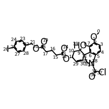 COc1ccc2c3c1O[C@H]1C[C@@H](OC(=O)CCCC(=O)OCc4ccc(I)cc4)C=C[C@@]31CCN(C(=O)Cl)C2